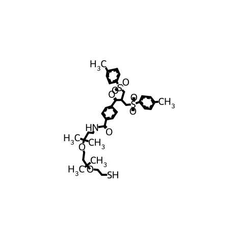 Cc1ccc(S(=O)(=O)CC(CS(=O)(=O)c2ccc(C)cc2)C(=O)c2ccc(C(=O)NCCC(C)(C)OCCC(C)(C)OCCS)cc2)cc1